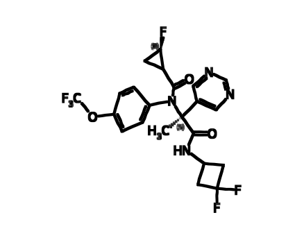 C[C@@](C(=O)NC1CC(F)(F)C1)(c1cncnc1)N(C(=O)C1C[C@H]1F)c1ccc(OC(F)(F)F)cc1